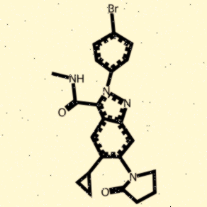 CNC(=O)c1c2cc(C3CC3)c(N3CCCC3=O)cc2nn1-c1ccc(Br)cc1